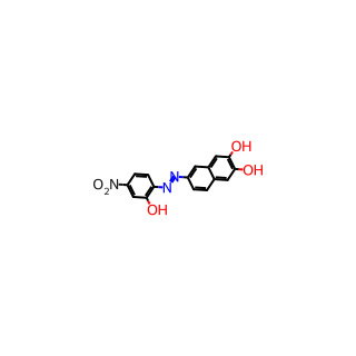 O=[N+]([O-])c1ccc(/N=N/c2ccc3cc(O)c(O)cc3c2)c(O)c1